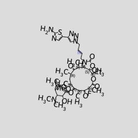 CC[C@H]1OC(=O)[C@@](C)(F)C(=O)[C@H](C)[C@@H](O[C@@H]2O[C@H](C)CC(N(C)C)C2O)[C@](C)(OC)C[C@@H](C)C(=O)[C@H](C)[C@H]2N(C/C=C/Cn3cc(-c4cnc(N)s4)nn3)C(=O)O[C@]12C